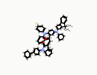 CC1(C)c2ccccc2-c2ccc(N(C3=CCCC=C3)c3ccc(N(c4ccccc4)c4ccc(F)cc4)c(-c4ccc5c(c4)c4ccccc4n5-c4ccc(-c5ccccc5)cc4)c3)cc21